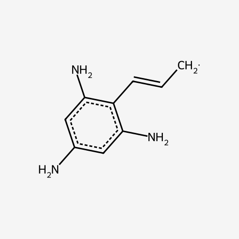 [CH2]/C=C/c1c(N)cc(N)cc1N